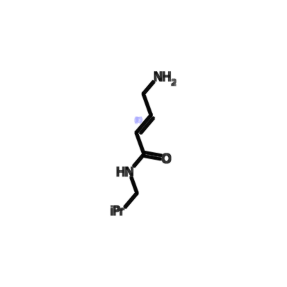 CC(C)CNC(=O)/C=C/CN